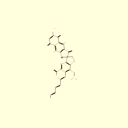 C/C=C/C=C/c1cc2c(CN(C)C)c3c(c(O)c2c(=O)[nH]1)C1(CC3)C(=O)c2c(O)c3c(c(O)c2C1=O)C(=O)C(OC)=CC3=O